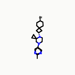 Cc1ncc(N2CCN([C@H]3CC4(CC[C@H](C(C)=O)CC4)C3)C3(CC3)C2)cn1